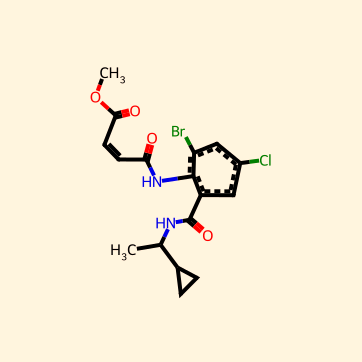 COC(=O)/C=C\C(=O)Nc1c(Br)cc(Cl)cc1C(=O)NC(C)C1CC1